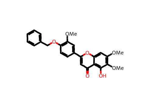 COc1cc(-c2cc(=O)c3c(O)c(OC)c(OC)cc3o2)ccc1OCc1ccccc1